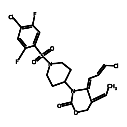 C/C=C1/COC(=O)N(C2CCN(S(=O)(=O)c3cc(F)c(Cl)cc3F)CC2)/C1=C/C=C/Cl